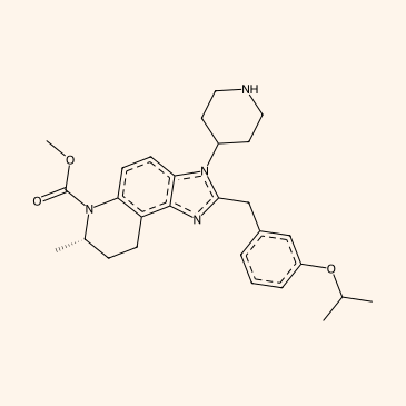 COC(=O)N1c2ccc3c(nc(Cc4cccc(OC(C)C)c4)n3C3CCNCC3)c2CC[C@@H]1C